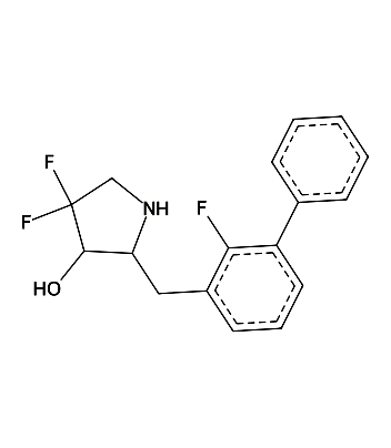 OC1C(Cc2cccc(-c3ccccc3)c2F)NCC1(F)F